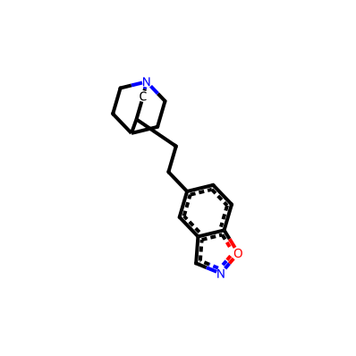 c1cc2oncc2cc1CCC1CN2CCC1CC2